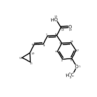 COc1ccc(/C(=C\C=C\C2CC2)C(=O)O)cc1